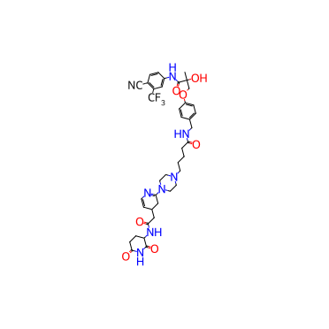 CC(O)(COc1ccc(CNC(=O)CCCCN2CCN(C3=NC=CC(CC(=O)NC4CCC(=O)NC4=O)C3)CC2)cc1)C(=O)Nc1ccc(C#N)c(C(F)(F)F)c1